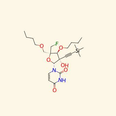 CCCCOC[C@@]1(CF)O[C@@H](n2ccc(=O)[nH]c2=O)[C@](O)(C#C[Si](C)(C)C)[C@@H]1OCCCC